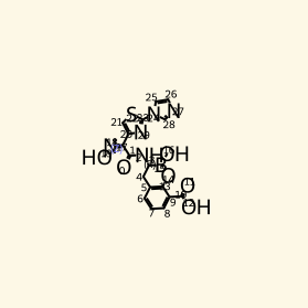 O=C(N[C@H]1Cc2cccc(C(=O)O)c2OB1O)/C(=N\O)c1csc(-n2ccnc2)n1